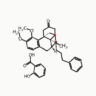 COc1ccc2c(c1OC)[C@]13CCN(C)[C@H](C2)[C@]1(OCCCc1ccccc1)CCC(=O)C3.O=C(O)c1ccccc1O